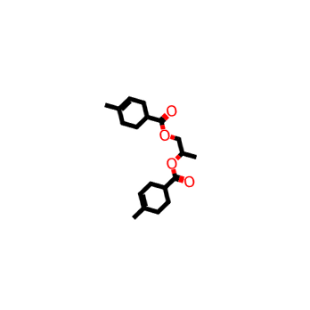 CC1=CCC(C(=O)OCC(C)OC(=O)C2CC=C(C)CC2)CC1